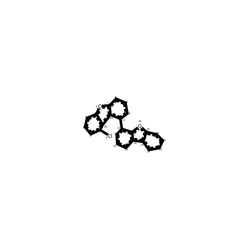 Clc1cccc2oc3cccc(-c4cccc5c4oc4ccccc45)c3c12